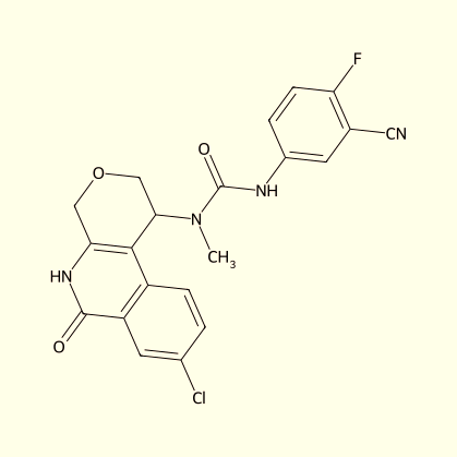 CN(C(=O)Nc1ccc(F)c(C#N)c1)C1COCc2[nH]c(=O)c3cc(Cl)ccc3c21